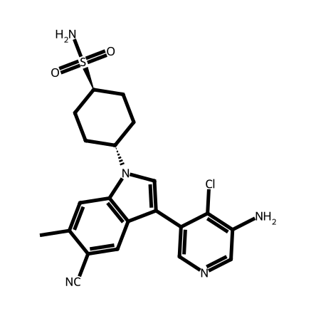 Cc1cc2c(cc1C#N)c(-c1cncc(N)c1Cl)cn2[C@H]1CC[C@H](S(N)(=O)=O)CC1